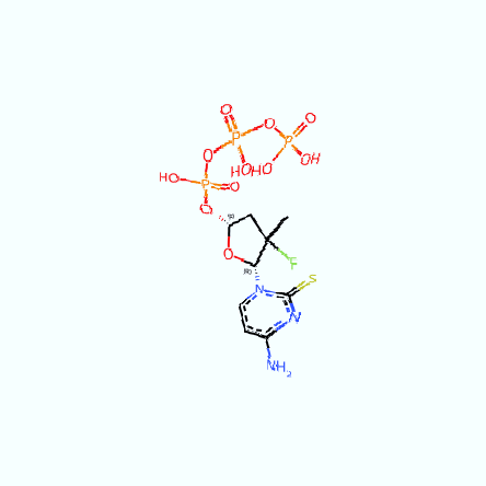 CC1(F)C[C@@H](OP(=O)(O)OP(=O)(O)OP(=O)(O)O)O[C@H]1n1ccc(N)nc1=S